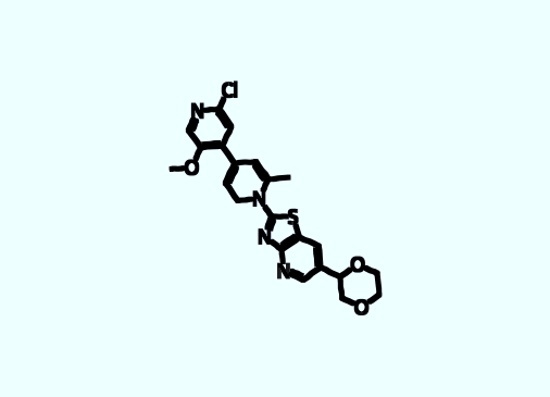 COc1cnc(Cl)cc1C1=CCN(c2nc3ncc(C4COCCO4)cc3s2)C(C)=C1